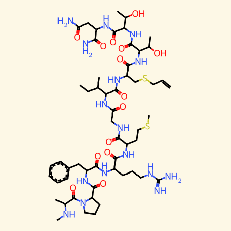 C=CCSCC(NC(=O)C(NC(=O)CNC(=O)C(CCSC)NC(=O)C(CCCNC(=N)N)NC(=O)C(Cc1ccccc1)NC(=O)C1CCCN1C(=O)C(C)NC)C(C)CC)C(=O)NC(C(=O)NC(C(=O)NC(CC(N)=O)C(N)=O)C(C)O)C(C)O